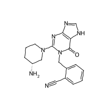 N#Cc1ccccc1Cn1c(N2CCC[C@@H](N)C2)nc2nc[nH]c2c1=O